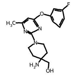 Cc1cc(Oc2cccc(F)c2)nc(N2CCC(N)(CO)CC2)n1